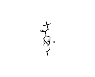 COC[C@@H]1[C@H]2CN(C(=O)OC(C)(C)C)C[C@@H]12